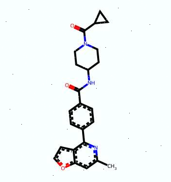 Cc1cc2occc2c(-c2ccc(C(=O)NC3CCN(C(=O)C4CC4)CC3)cc2)n1